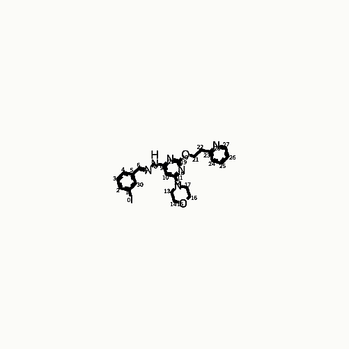 Ic1cccc(C=NNc2cc(N3CCOCC3)nc(OCCc3ccccn3)n2)c1